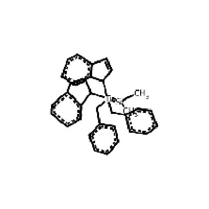 C[Si](C)=[Ti]([CH2]c1ccccc1)([CH2]c1ccccc1)([CH]1C=Cc2ccccc21)[CH]1C=Cc2ccccc21